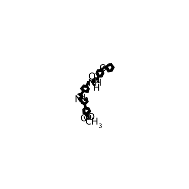 CS(=O)(=O)c1ccc(-c2ccn3c(-c4ccc(CNC(=O)Nc5ccc(Oc6ccccc6)cc5)cc4)cnc3c2)cc1